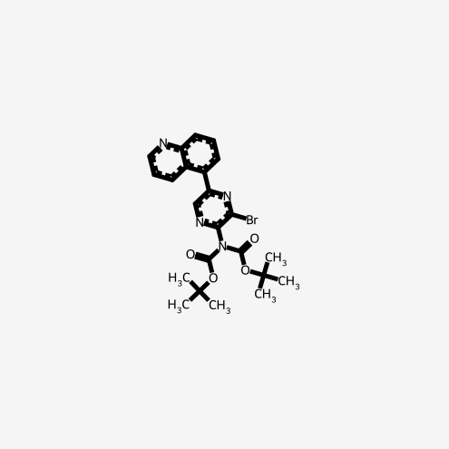 CC(C)(C)OC(=O)N(C(=O)OC(C)(C)C)c1ncc(-c2cccc3ncccc23)nc1Br